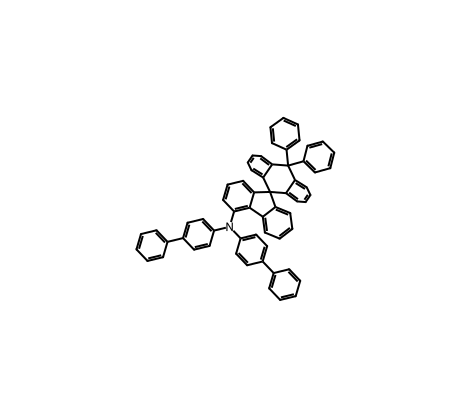 c1ccc(-c2ccc(N(c3ccc(-c4ccccc4)cc3)c3cccc4c3-c3ccccc3C43c4ccccc4C(c4ccccc4)(c4ccccc4)c4ccccc43)cc2)cc1